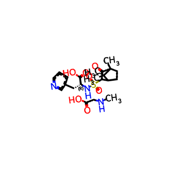 CC12CCC(C(S(=O)(=O)N[C@H](Cc3cccnc3)C(=O)O)C1=O)C2(C)C.CNCC(=O)O